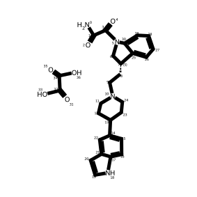 NC(=O)C(=O)N1C[C@@H](CCN2CCC(c3ccc4[nH]ccc4c3)CC2)c2ccccc21.O=C(O)C(=O)O